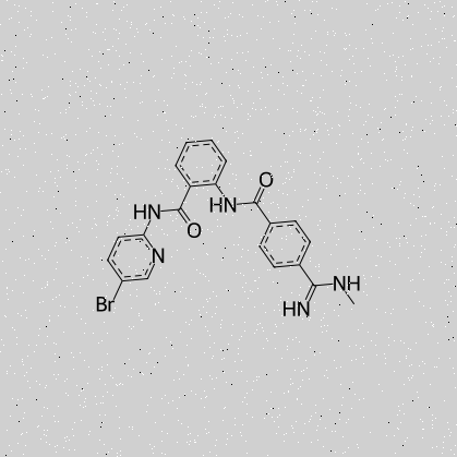 CNC(=N)c1ccc(C(=O)Nc2ccccc2C(=O)Nc2ccc(Br)cn2)cc1